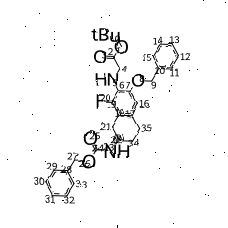 CC(C)(C)OC(=O)CNc1c(OCc2ccccc2)cc2c(c1F)C[C@H](NC(=O)OCc1ccccc1)CC2